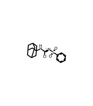 O=S(=O)(/N=C(\Cl)NC12CC3CC(CC(C3)C1)C2)c1ccccc1